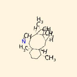 C#N.C[C@@H]1CCC[C@@]2(C)CC[C@H]3[C@H](C)CC[C@@H](C[C@H]12)C3(C)C